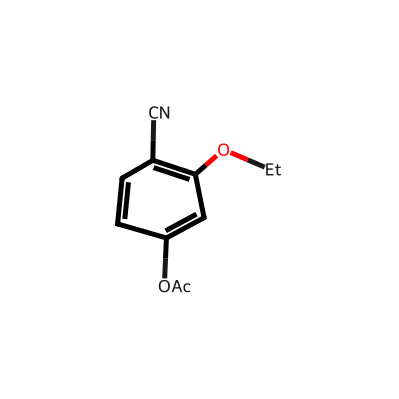 CCOc1cc(OC(C)=O)ccc1C#N